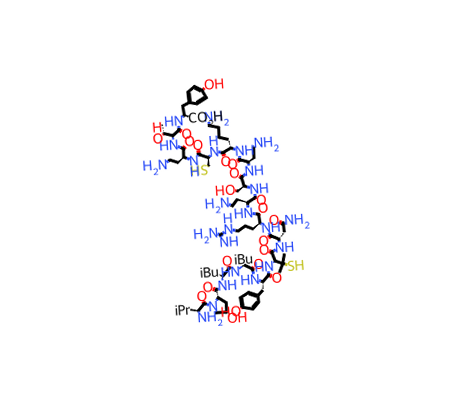 CC[C@H](C)[C@H](NC(=O)[C@@H](NC(=O)[C@@H]1C[C@@H](O)CN1C(=O)[C@@H](N)C(C)C)[C@@H](C)CC)C(=O)N[C@@H](Cc1ccc(O)cc1)C(=O)N[C@H](C(=O)N[C@@H](CC(N)=O)C(=O)N[C@@H](CCCNC(=N)N)C(=O)N[C@@H](CCN)C(=O)N[C@@H](CO)C(=O)N[C@H](CCN)C(=O)N[C@@H](CCCCN)C(=O)N[C@@H](CS)C(=O)N[C@@H](CCN)C(=O)N[C@H](C(=O)N[C@@H](Cc1ccc(O)cc1)C(=O)O)[C@@H](C)O)C(C)(C)S